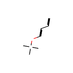 C=CC=CO[Si](C)(C)C